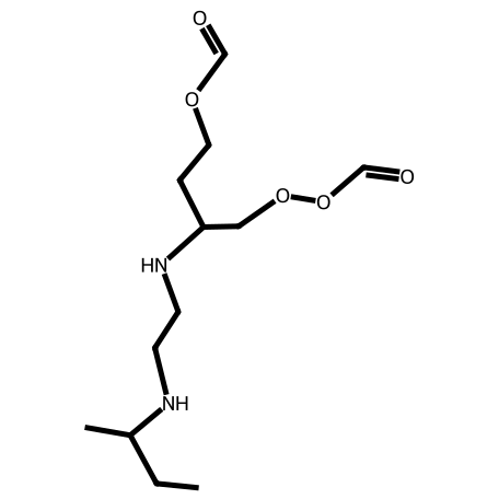 CCC(C)NCCNC(CCOC=O)COOC=O